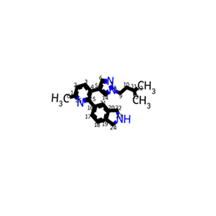 Cc1ccc(-c2cnn(CCC(C)C)c2)c(-c2ccc3c(c2)CNC3)n1